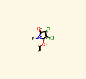 C=CO[C@@H]1C(Cl)=C(Cl)C(=O)N1CC